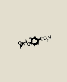 O=C(O)c1ccc(OC[C@H]2CO2)cc1